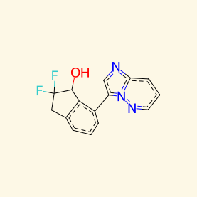 OC1c2c(cccc2-c2cnc3cccnn23)CC1(F)F